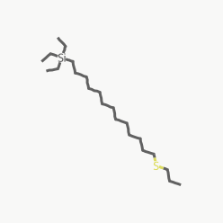 CCCSCCCCCCCCCCCCC[Si](CC)(CC)CC